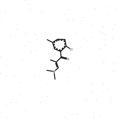 C/C(=C\N(C)C)C(=O)c1cc(C)ccc1Cl